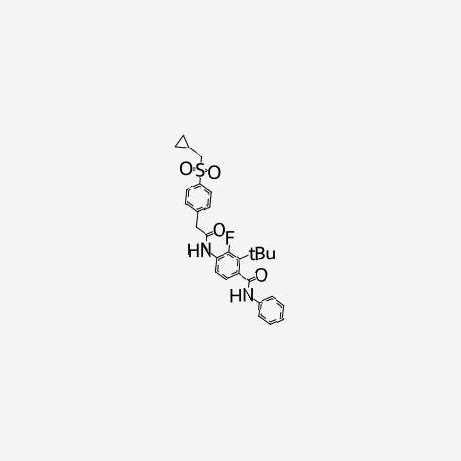 CC(C)(C)c1c(C(=O)Nc2ccccc2)ccc(NC(=O)Cc2ccc(S(=O)(=O)CC3CC3)cc2)c1F